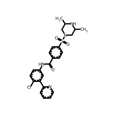 CC1CN(S(=O)(=O)c2ccc(C(=O)Nc3ccc(Cl)c(-c4ccccn4)c3)cc2)CC(C)N1